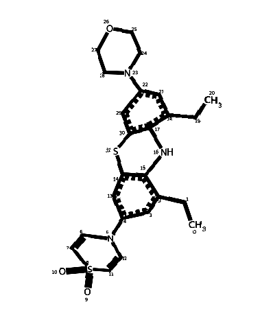 CCc1cc(N2C=CS(=O)(=O)C=C2)cc2c1Nc1c(CC)cc(N3CCOCC3)cc1S2